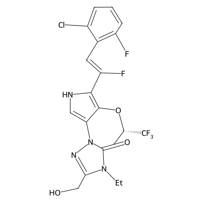 CCn1c(CO)nn(-c2c[nH]c(/C(F)=C/c3c(F)cccc3Cl)c2O[C@@H](C)C(F)(F)F)c1=O